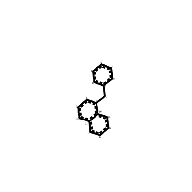 [CH](c1ccccc1)c1cccc2ccccc12